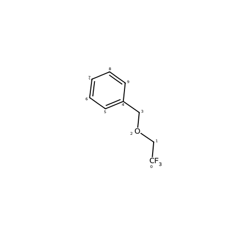 FC(F)(F)COCc1cc[c]cc1